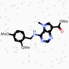 COC(=O)c1cn(C)c2c(NCc3ccc(OC)cc3OC)ncnc12